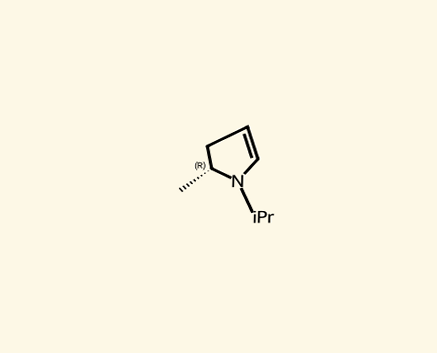 CC(C)N1C=CC[C@H]1C